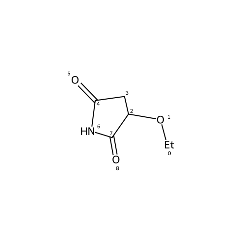 CCOC1CC(=O)NC1=O